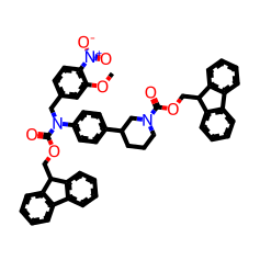 COc1cc(CN(C(=O)OCC2c3ccccc3-c3ccccc32)c2ccc(C3CCCN(C(=O)OCC4c5ccccc5-c5ccccc54)C3)cc2)ccc1[N+](=O)[O-]